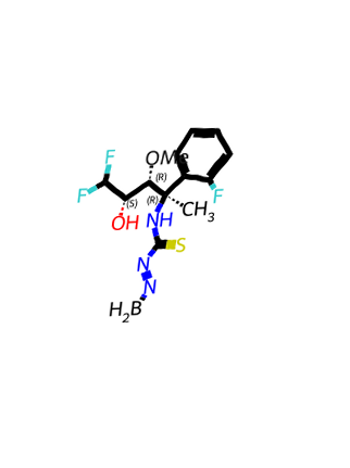 BN=NC(=S)N[C@](C)(c1ccccc1F)[C@@H](OC)[C@H](O)C(F)F